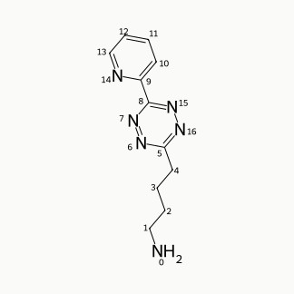 NCCCCc1nnc(-c2ccccn2)nn1